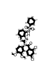 COc1ccc(N(C(=O)c2ccc(Cl)cc2Cl)c2nc3c(NS(=O)(=O)c4ccccc4)cccc3s2)cc1OC